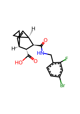 O=C(O)[C@H]1[C@H](C(=O)NCc2ccc(Br)cc2F)[C@@H]2C=C[C@H]1C21CC1